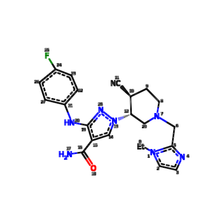 CCn1ccnc1CN1CC[C@H](C#N)[C@@H](n2cc(C(N)=O)c(Nc3ccc(F)cc3)n2)C1